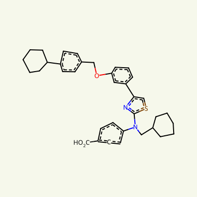 O=C(O)c1ccc(N(CC2CCCCC2)c2nc(-c3cccc(OCc4ccc(C5CCCCC5)cc4)c3)cs2)cc1